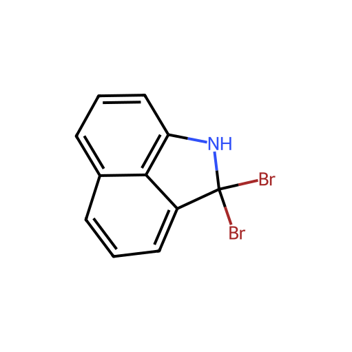 BrC1(Br)Nc2cccc3cccc1c23